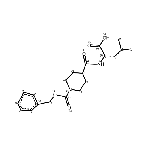 CC(C)C[C@H](NC(=O)C1CCN(C(=O)OCc2ccccc2)CC1)C(=O)O